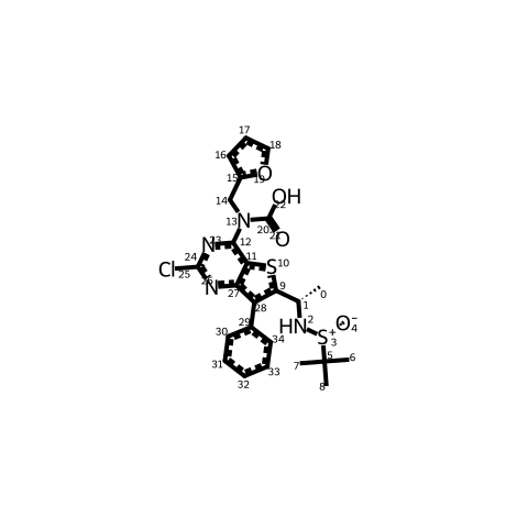 C[C@H](N[S@+]([O-])C(C)(C)C)c1sc2c(N(Cc3ccco3)C(=O)O)nc(Cl)nc2c1-c1ccccc1